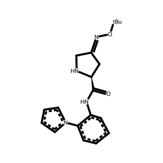 CC(C)(C)ON=C1CN[C@H](C(=O)Nc2ccccc2-n2cccc2)C1